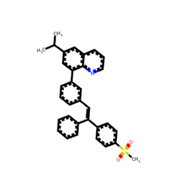 CC(C)c1cc(-c2cccc(/C=C(\c3ccccc3)c3ccc(S(C)(=O)=O)cc3)c2)c2ncccc2c1